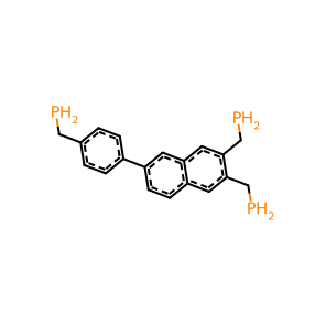 PCc1ccc(-c2ccc3cc(CP)c(CP)cc3c2)cc1